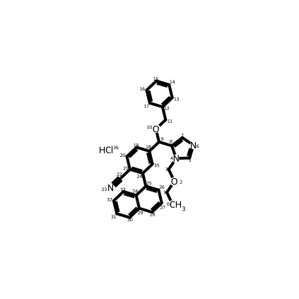 CCOCn1cncc1C(OCc1ccccc1)c1ccc(C#N)c(-c2cccc3ccccc23)c1.Cl